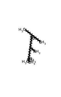 CCCCCCCCC(CCCCCCCC)OC(=O)CCCCCCCN(CCCN)CCCCCCCC(=O)OC(C)(C)C